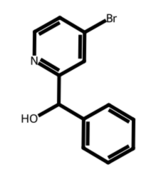 OC(c1ccccc1)c1cc(Br)ccn1